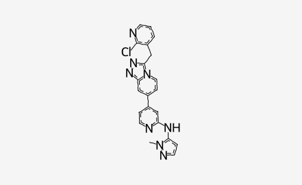 Cn1nccc1Nc1cc(-c2ccn3c(Cc4cccnc4Cl)nnc3c2)ccn1